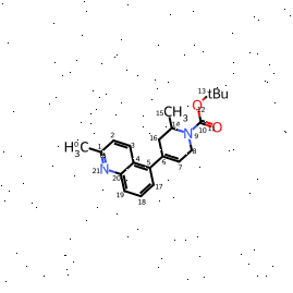 Cc1ccc2c(C3=CCN(C(=O)OC(C)(C)C)C(C)C3)cccc2n1